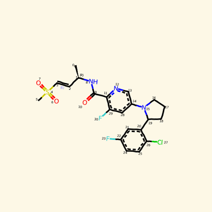 C[C@H](/C=C/S(C)(=O)=O)NC(=O)c1ncc(N2CCCC2c2cc(F)ccc2Cl)cc1F